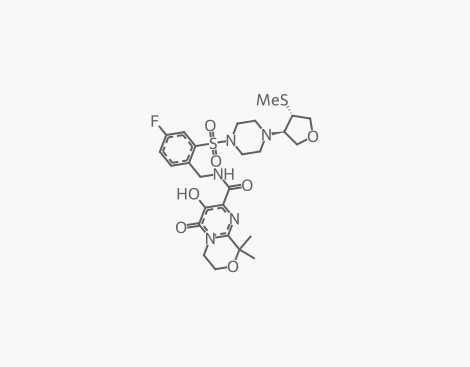 CS[C@@H]1COC[C@H]1N1CCN(S(=O)(=O)c2cc(F)ccc2CNC(=O)c2nc3n(c(=O)c2O)CCOC3(C)C)CC1